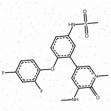 CNc1cc(-c2cc(NS(C)(=O)=O)ccc2Oc2ccc(F)cc2F)cn(C)c1=O